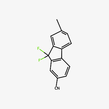 Cc1ccc2c(c1)C(F)(F)c1cc(C#N)ccc1-2